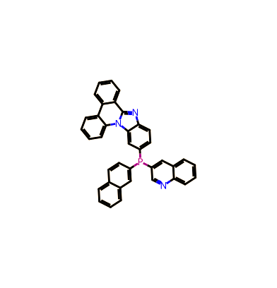 c1ccc2cc(P(c3cnc4ccccc4c3)c3ccc4nc5c6ccccc6c6ccccc6n5c4c3)ccc2c1